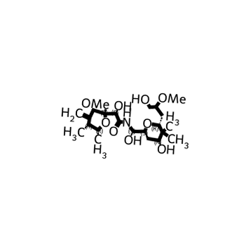 C=C1C[C@](OC)([C@H](O)C(=O)N[C@@H](O)[C@@H]2C[C@@H](O)C(C)(C)[C@@H](CC(CO)OC)O2)O[C@H](C)[C@@H]1C